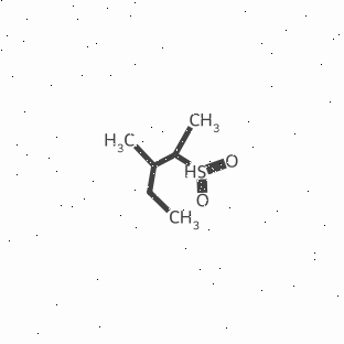 CCC(C)C(C)[SH](=O)=O